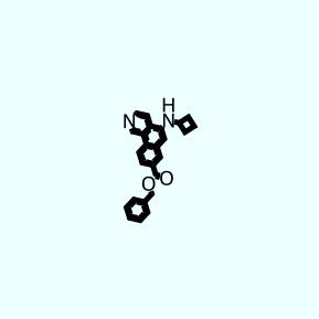 O=C(OCc1ccccc1)c1ccc2c(c1)cc(NC1CCC1)c1ccncc12